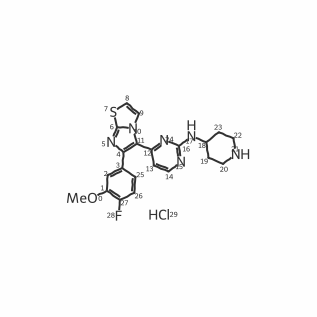 COc1cc(-c2nc3sccn3c2-c2ccnc(NC3CCNCC3)n2)ccc1F.Cl